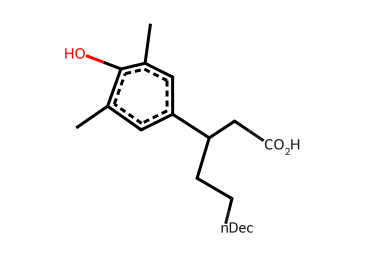 CCCCCCCCCCCCC(CC(=O)O)c1cc(C)c(O)c(C)c1